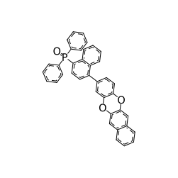 O=P(c1ccccc1)(c1ccccc1)c1ccc(-c2ccc3c(c2)Oc2cc4ccccc4cc2O3)c2ccccc12